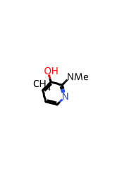 C.CNc1ncccc1O